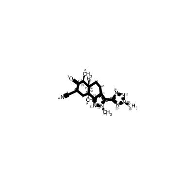 C[C@@H]1C(=O)C(C#N)C[C@]2(C)c3nn(C)c(-c4nnn(C)n4)c3CC[C@@H]12